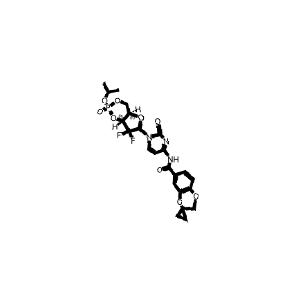 CC(C)OP1(=O)OC[C@H]2OC(n3ccc(NC(=O)c4ccc5c(c4)OC4(CC4)CO5)nc3=O)C(F)(F)[C@@H]2O1